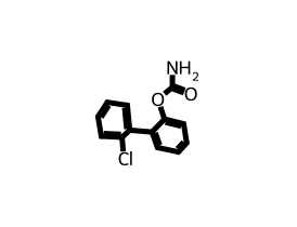 NC(=O)Oc1ccccc1-c1ccccc1Cl